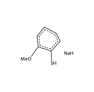 COc1ccccc1S.[NaH]